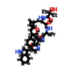 CCC(O)(CC)C(=O)N[C@H]1Cc2ccc3c(c2)C2(c4ccccc4NC2O3)c2oc(nc2-c2ncc(-c3c[nH]c4ccccc34)o2)[C@H](C(C)C)NC1=O